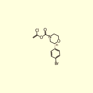 C=C(Cl)OC(=O)N1CCO[C@H](c2ccc(Br)cc2)C1